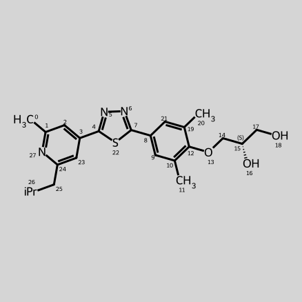 Cc1cc(-c2nnc(-c3cc(C)c(OC[C@@H](O)CO)c(C)c3)s2)cc(CC(C)C)n1